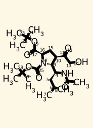 CC(=O)N[C@@H](CC(C)C)[C@H]1[C@H](C(=O)CO)C[C@H](C(=O)OC(C)(C)C)N1C(=O)OC(C)(C)C